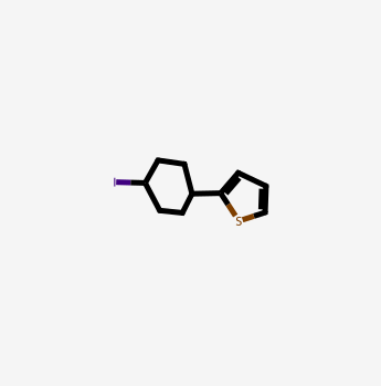 IC1CCC(c2cccs2)CC1